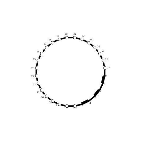 [C]1=C/C=C\C=CCCCCCCCCCCCCCCCCCCCCCC1